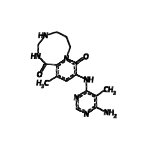 Cc1cc(Nc2ncnc(N)c2C)c(=O)n2c1C(=O)NCNCCC2